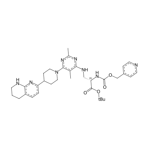 Cc1nc(NC[C@H](NC(=O)OCc2ccncc2)C(=O)OC(C)(C)C)c(C)c(N2CCC(c3ccc4c(n3)NCCC4)CC2)n1